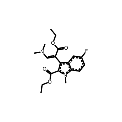 CCOC(=O)/C(=C\N(C)C)c1c(C(=O)OCC)n(C)c2ccc(F)cc12